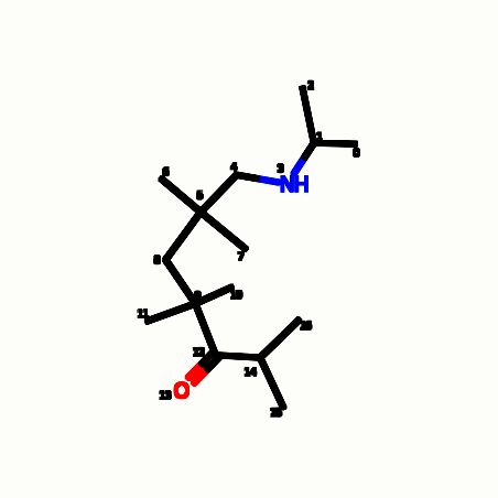 CC(C)NCC(C)(C)CC(C)(C)C(=O)C(C)C